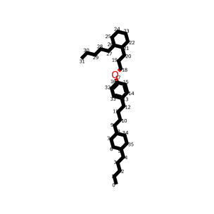 CCCCCC1CCC(CCCCc2ccc(OCCCC3CCCCC3CCCCC)cc2)CC1